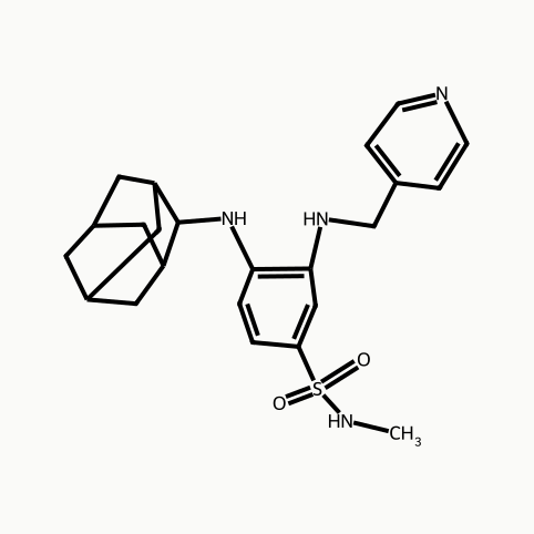 CNS(=O)(=O)c1ccc(NC2C3CC4CC(C3)CC2C4)c(NCc2ccncc2)c1